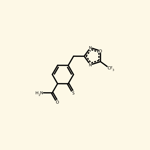 NC(=O)C1C=CC(Cc2noc(C(F)(F)F)n2)=CC1=S